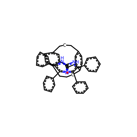 c1ccc(-c2nc(-c3cc4ccc3CCCc3ccc(cc3-c3nc(-c5ccccc5)c(-c5ccccc5)[nH]3)CCC4)[nH]c2-c2ccccc2)cc1